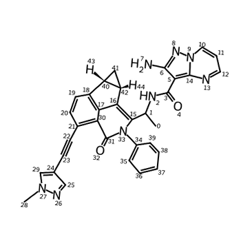 CC(NC(=O)c1c(N)nn2cccnc12)c1c2c3c(ccc(C#Cc4cnn(C)c4)c3c(=O)n1-c1ccccc1)[C@@H]1C[C@H]21